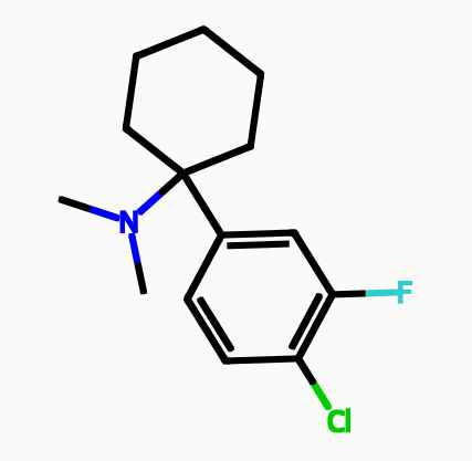 CN(C)C1(c2ccc(Cl)c(F)c2)CCCCC1